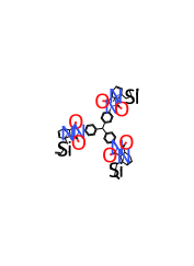 C=C[Si](C)(C)CC12C=CC(C3C(=O)N(c4ccc(C(c5ccc(N6C(=O)C7C8C=CC(C[Si](C)(C)C=C)(C7C6=O)N8C)cc5)c5ccc(N6C(=O)C7C8C=CC(C[Si](C)(C)C=C)(C7C6=O)N8C)cc5)cc4)C(=O)C31)N2C